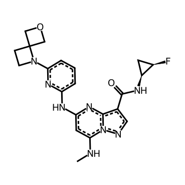 CNc1cc(Nc2cccc(N3CCC34COC4)n2)nc2c(C(=O)N[C@H]3C[C@H]3F)cnn12